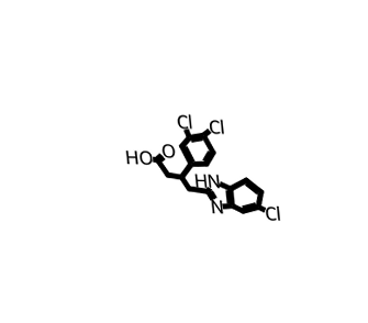 O=C(O)CC(Cc1nc2cc(Cl)ccc2[nH]1)c1ccc(Cl)c(Cl)c1